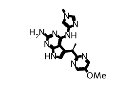 COc1cnc([C@H](C)c2c[nH]c3nc(N)nc(Nc4cn(C)cn4)c23)nc1